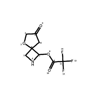 O=C1COC2(CNC2OC(=O)C(F)(F)F)C1